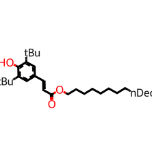 CCCCCCCCCCCCCCCCCCOC(=O)C=Cc1cc(C(C)(C)C)c(O)c(C(C)(C)C)c1